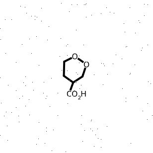 O=C(O)C1CCOOC1